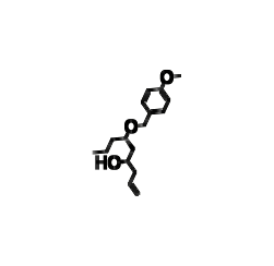 C=CC[C@@H](O)C[C@@H](CCC)OCc1ccc(OC)cc1